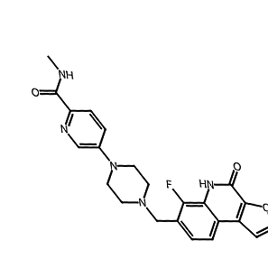 CNC(=O)c1ccc(N2CCN(Cc3ccc4c([nH]c(=O)c5occc54)c3F)CC2)cn1